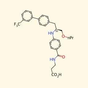 CCCOC[C@H](Cc1ccc(-c2cccc(C(F)(F)F)c2)cc1)Nc1ccc(C(=O)NCCC(=O)O)cc1